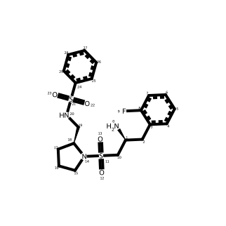 N[C@@H](Cc1ccccc1F)CS(=O)(=O)N1CCC[C@H]1CNS(=O)(=O)c1ccccc1